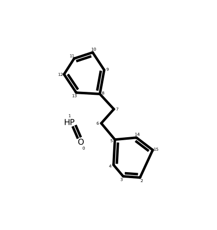 O=P.c1ccc(CCc2ccccc2)cc1